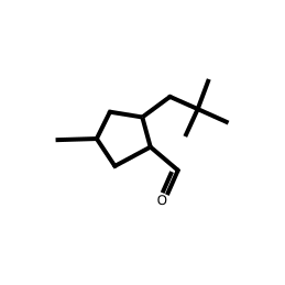 CC1CC(C=O)C(CC(C)(C)C)C1